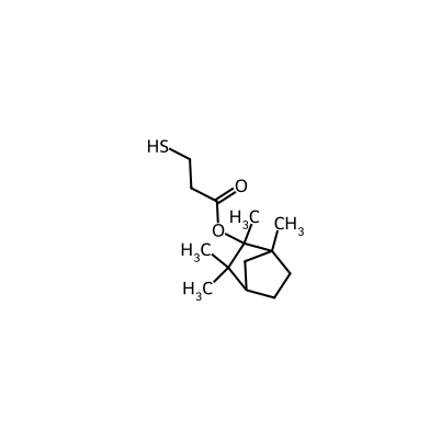 CC12CCC(C1)C(C)(C)C2(C)OC(=O)CCS